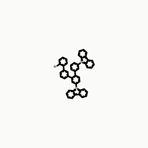 Brc1ccccc1-c1cccc(-c2cc(-n3c4ccccc4c4ccccc43)ccc2-c2cccc(-n3c4ccccc4c4ccccc43)c2)c1